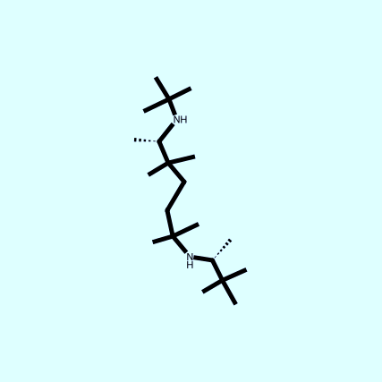 C[C@H](NC(C)(C)C)C(C)(C)CCC(C)(C)N[C@H](C)C(C)(C)C